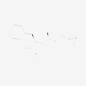 CC1(C)O[C@@H]([C@@H](O)CNC2CC2)[C@H](CC2CCCCC2)N1C(=O)O